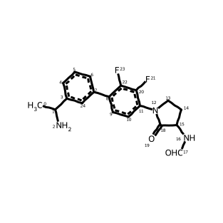 CC(N)c1cccc(-c2ccc(N3CCC(NC=O)C3=O)c(F)c2F)c1